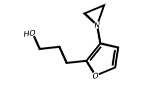 OCCCc1occc1N1CC1